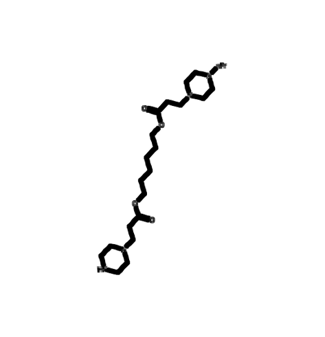 CCCN1CCN(CCC(=O)OCCCCCCOC(=O)CCN2CCNCC2)CC1